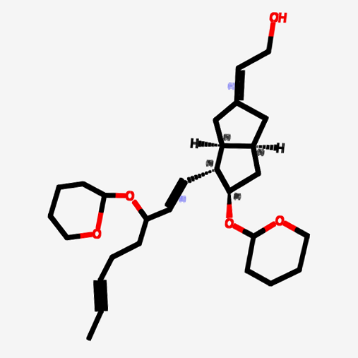 CC#CCCC(/C=C/[C@@H]1[C@H]2C/C(=C/CO)C[C@H]2C[C@H]1OC1CCCCO1)OC1CCCCO1